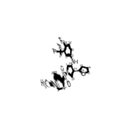 Cn1cnc(S(=O)(=O)N2C[C@H](Nc3ccc(F)c(C(F)(F)F)c3)[C@@H](C3CCCO3)C2)c1